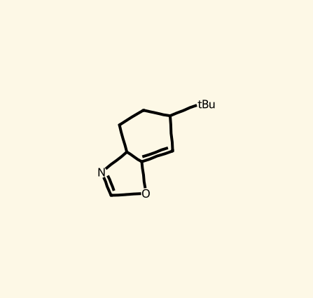 CC(C)(C)C1C=C2OC=NC2CC1